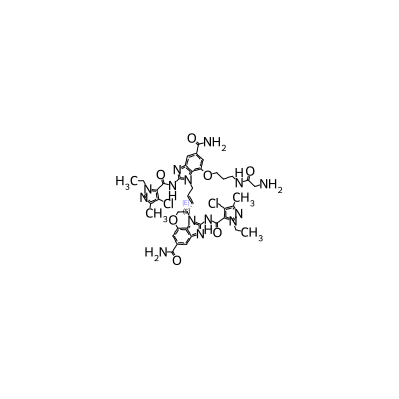 CCn1nc(C)c(Cl)c1C(=O)Nc1nc2cc(C(N)=O)cc(OCCCNC(=O)CN)c2n1C/C=C/[C@H]1COc2cc(C(N)=O)cc3nc(NC(=O)c4c(Cl)c(C)nn4CC)n1c23